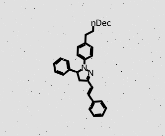 CCCCCCCCCCCCc1ccc(N2N=C(C=Cc3ccccc3)CC2c2ccccc2)cc1